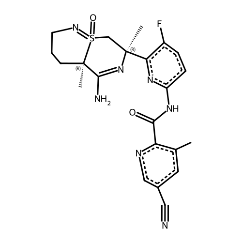 Cc1cc(C#N)cnc1C(=O)Nc1ccc(F)c([C@]2(C)CS3(=O)=NCCC[C@]3(C)C(N)=N2)n1